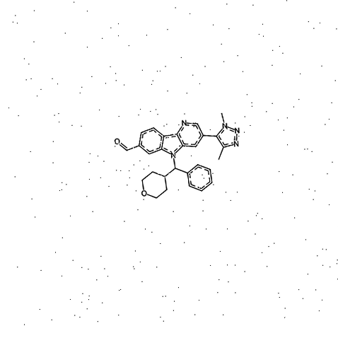 Cc1nnn(C)c1-c1cnc2c3ccc(C=O)cc3n(C(c3ccccc3)C3CCOCC3)c2c1